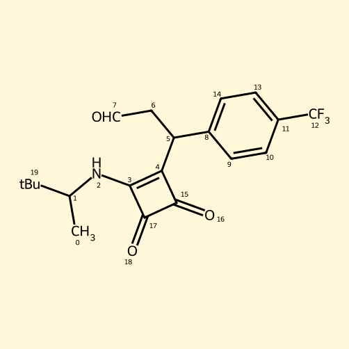 CC(Nc1c(C(CC=O)c2ccc(C(F)(F)F)cc2)c(=O)c1=O)C(C)(C)C